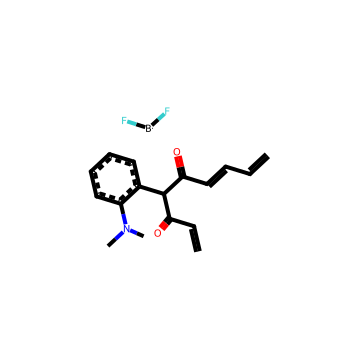 C=CC=CC(=O)C(C(=O)C=C)c1ccccc1N(C)C.F[B]F